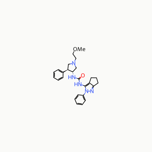 COCCN1C[C@H](NC(=O)Nc2c3c(nn2-c2ccccc2)CCC3)[C@@H](c2ccccc2)C1